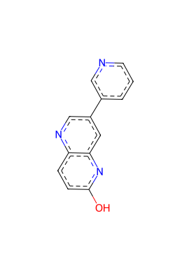 Oc1ccc2ncc(-c3cccnc3)cc2n1